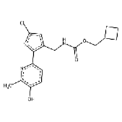 Cc1nc(-c2sc(Cl)cc2CNC(=O)OCC2CCC2)ccc1O